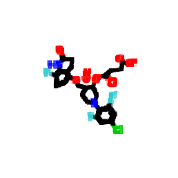 O=C(O)CCC(=O)O[C@@H]1CN(c2c(F)cc(Cl)cc2F)CC[C@@]1(O)COc1ccc(F)c2c1CCC(=O)N2